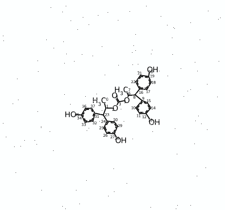 CC(OC(=O)OC(C)C(c1ccc(O)cc1)c1ccc(O)cc1)C(c1ccc(O)cc1)c1ccc(O)cc1